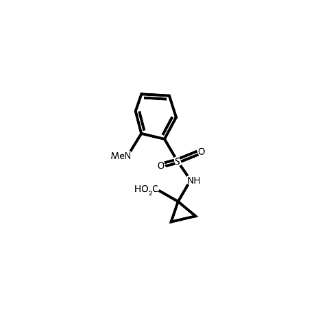 CNc1ccccc1S(=O)(=O)NC1(C(=O)O)CC1